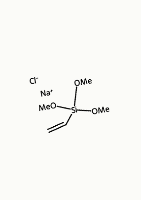 C=C[Si](OC)(OC)OC.[Cl-].[Na+]